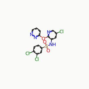 O=S(=O)(Nc1cc(Cl)cnc1Oc1cccnn1)c1ccc(Cl)c(Cl)c1